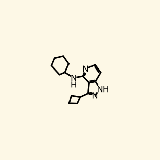 c1cc2[nH]nc(C3CCC3)c2c(NC2CCCCC2)n1